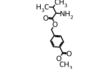 COC(=O)c1ccc(COC(=O)C(N)C(C)C)cc1